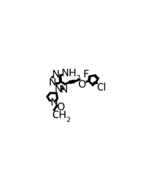 C=CC(=O)N1CCC[C@@H](n2nc(C#CCOc3cc(Cl)ccc3F)c3c(N)ncnc32)C1